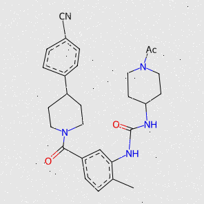 CC(=O)N1CCC(NC(=O)Nc2cc(C(=O)N3CCC(c4ccc(C#N)cc4)CC3)ccc2C)CC1